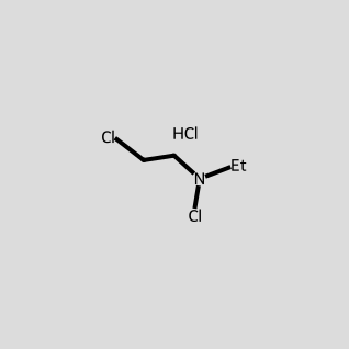 CCN(Cl)CCCl.Cl